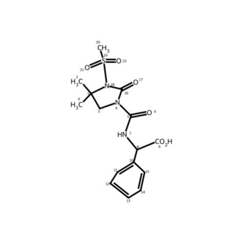 CC1(C)CN(C(=O)NC(C(=O)O)c2ccccc2)C(=O)N1S(C)(=O)=O